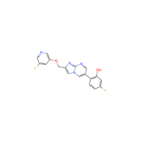 Oc1cc(F)ccc1-c1cnc2nc(COc3cncc(F)c3)cn2c1